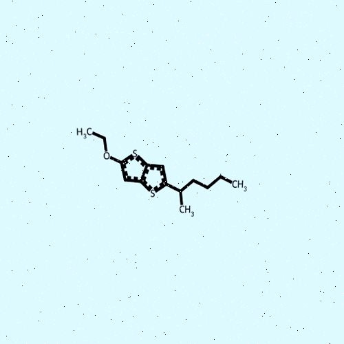 C[CH]CCC(C)c1cc2sc(OCC)cc2s1